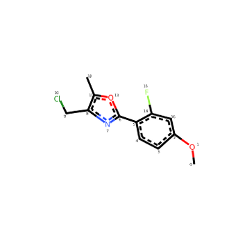 COc1ccc(-c2nc(CCl)c(C)o2)c(F)c1